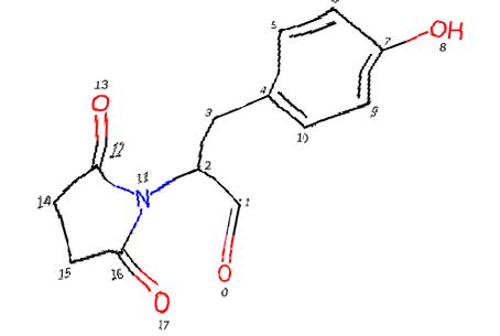 O=[C]C(Cc1ccc(O)cc1)N1C(=O)CCC1=O